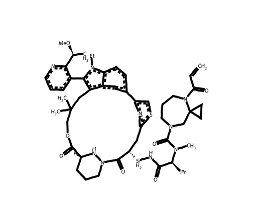 C=CC(=O)N1CCCN(C(=O)N(C)[C@H](C(=O)N[SiH2][C@H]2Cc3nc(cs3)-c3ccc4c(c3)c(c(-c3cccnc3[C@H](C)OC)n4CC)CC(C)(C)COC(=O)[C@@H]3CCCN(N3)C2=O)C(C)C)CC12CC2